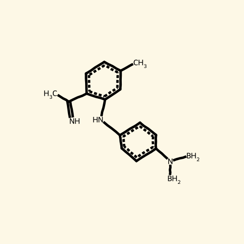 BN(B)c1ccc(Nc2cc(C)ccc2C(C)=N)cc1